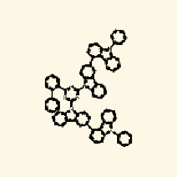 c1ccc(-c2ccccc2-c2nc(-n3c4ccccc4c4cc(-c5cccc6c5c5ccccc5n6-c5ccccc5)ccc43)nc(-n3c4ccccc4c4cc(-c5cccc6c5c5ccccc5n6-c5ccccc5)ccc43)n2)cc1